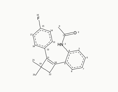 CC(=O)Nc1ccccc1C1=C(c2ccc(F)cc2)C(C)(C)C1